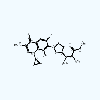 C[C@@H]([C@@H]1CCN(c2c(F)cc3c(=O)c(C(=O)O)cn(C4CC4)c3c2Cl)C1)N(C)C(=O)OC(C)(C)C